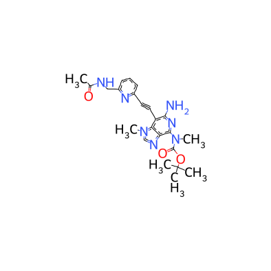 CC(=O)NCc1cccc(C#Cc2c(N)nc(N(C)C(=O)OC(C)(C)C)c3ncn(C)c23)n1